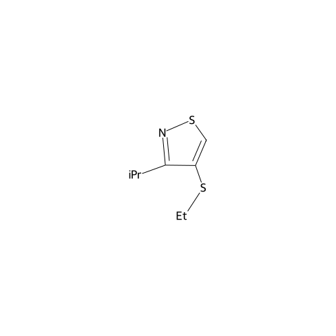 CCSc1csnc1C(C)C